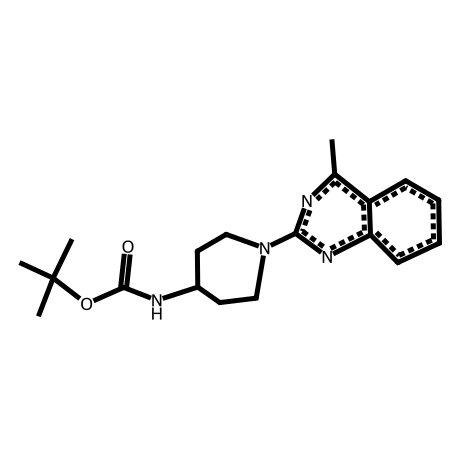 Cc1nc(N2CCC(NC(=O)OC(C)(C)C)CC2)nc2ccccc12